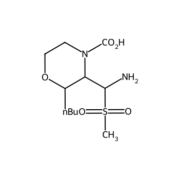 CCCCC1OCCN(C(=O)O)C1C(N)S(C)(=O)=O